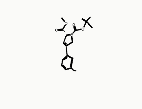 COC(=O)[C@H]1C=C(c2cccc(C)c2)CN1C(=O)OC(C)(C)C